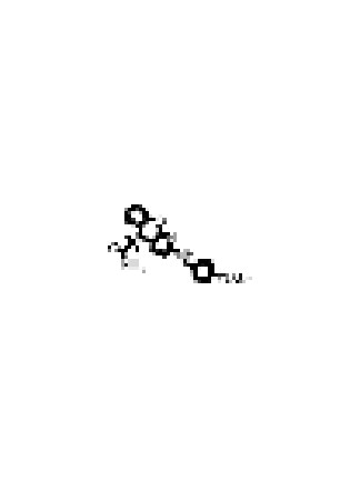 COc1ccc(CNc2ccc3c(n2)Oc2ccccc2[C@H]3C(C)(C)C(N)=O)cc1